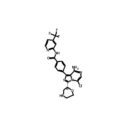 Nc1ncc(Cl)n2c([C@H]3CNCCO3)nc(-c3ccc(C(=O)Nc4cc(C(F)(F)F)ccn4)cc3)c12